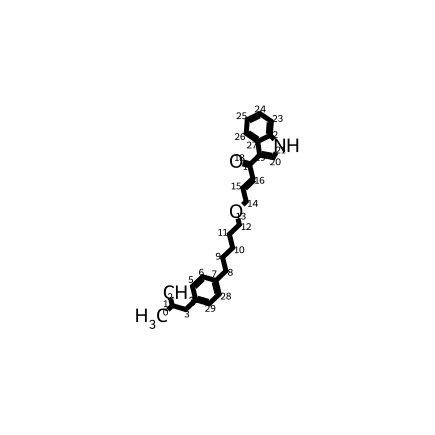 CC(C)Cc1ccc(CCCCCOC/C=C/C(=O)c2c[nH]c3ccccc23)cc1